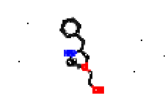 CN[C@H](COCCO)Cc1ccccc1